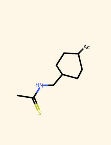 CC(=O)C1CCC(CNC(C)=S)CC1